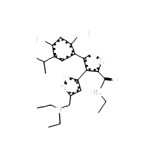 CCNC(=O)c1noc(-c2cc(C(C)C)c(O)cc2O)c1-c1cc(CN(CC)CC)no1